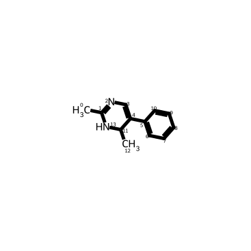 CC1=NC=C(c2ccccc2)C(C)N1